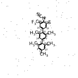 Cc1cc(C)c(-c2cc(C)c(-c3cc(F)c(N=C=S)c(C(F)(F)F)c3)c(C)c2)c(C)c1